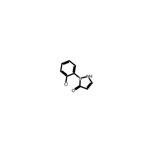 O=c1cc[nH]n1-c1ccccc1Cl